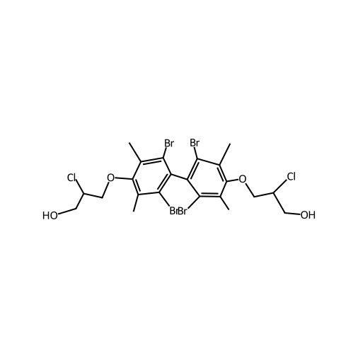 Cc1c(Br)c(-c2c(Br)c(C)c(OCC(Cl)CO)c(C)c2Br)c(Br)c(C)c1OCC(Cl)CO